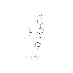 N=C(N)NCc1ccc(NC(=O)c2cnc(C3=CCN(C(=N)N)CC3)nc2)cc1.O=C(O)C(F)(F)F